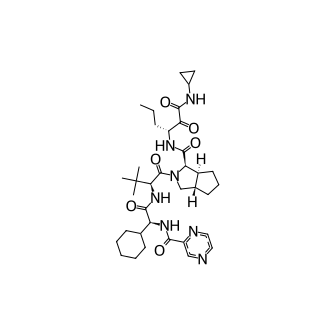 CCC[C@@H](NC(=O)[C@H]1[C@H]2CCC[C@@H]2CN1C(=O)[C@@H](NC(=O)[C@@H](NC(=O)c1cnccn1)C1CCCCC1)C(C)(C)C)C(=O)C(=O)NC1CC1